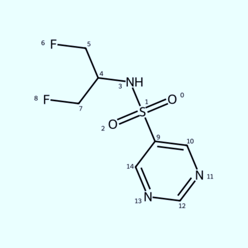 O=S(=O)(NC(CF)CF)c1cncnc1